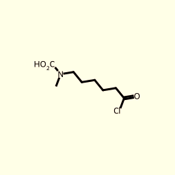 CN(CCCCCC(=O)Cl)C(=O)O